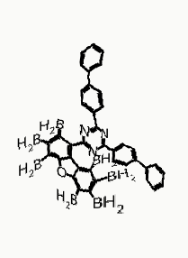 Bc1c(B)c(B)c2c(oc3c(B)c(B)c(B)c(-c4nc(-c5ccc(-c6ccccc6)cc5)nc(-c5ccc(-c6ccccc6)cc5)n4)c32)c1B